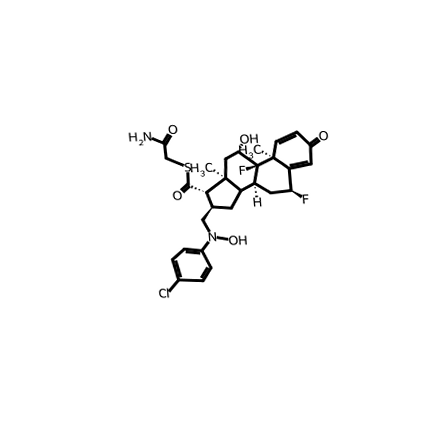 C[C@]12C[C@H](O)[C@@]3(F)[C@@H](C[C@H](F)C4=CC(=O)C=C[C@@]43C)C1C[C@@H](CN(O)c1ccc(Cl)cc1)[C@@H]2C(=O)SCC(N)=O